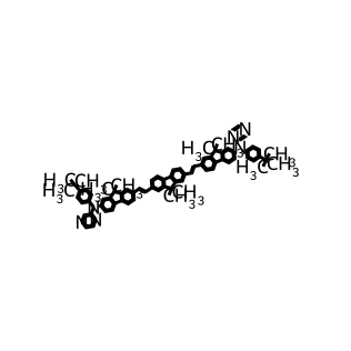 CC(C)(C)c1ccc(N(c2ccc3c(c2)C(C)(C)c2cc(/C=C/c4ccc5c(c4)C(C)(C)c4cc(/C=C/c6ccc7c(c6)C(C)(C)c6cc(N(c8ccc(C(C)(C)C)cc8)c8cnccn8)ccc6-7)ccc4-5)ccc2-3)c2cnccn2)cc1